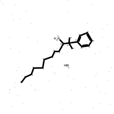 Br.CCCCCCCCCC(N)C(C)(C)c1ccccc1